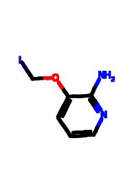 Nc1ncccc1OCI